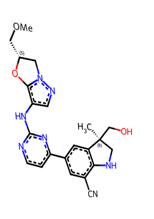 COC[C@@H]1Cn2ncc(Nc3nccc(-c4cc(C#N)c5c(c4)[C@@](C)(CO)CN5)n3)c2O1